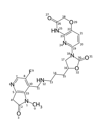 CN1C(=O)Cc2ncc(F)c(CNCCCC3CN(c4ccc5c(n4)NC(=O)CO5)C(=O)O3)c21